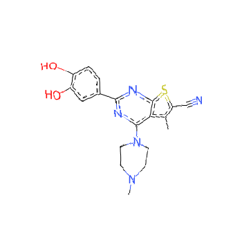 Cc1c(C#N)sc2nc(-c3ccc(O)c(O)c3)nc(N3CCN(C)CC3)c12